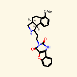 COc1cccc2c1CC[C@@H]1CNC(CCn3c(=O)[nH]c4c(oc5ccccc54)c3=O)[C@@H]21